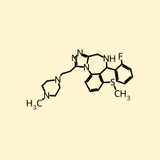 CSc1cccc2c1C(c1ccccc1F)NCc1nnc(CCN3CCN(C)CC3)n1-2